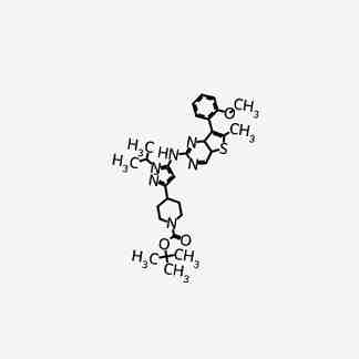 COc1ccccc1C1=C(C)SC2C=NC(Nc3cc(C4CCN(C(=O)OC(C)(C)C)CC4)nn3C(C)C)=NC12